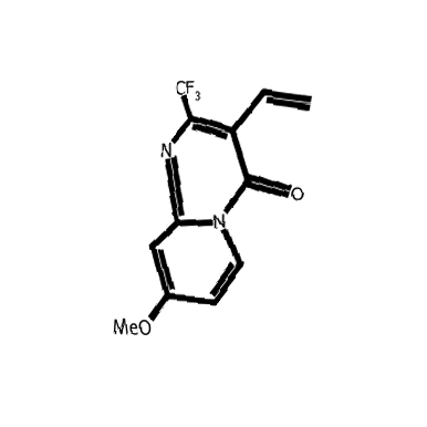 C=Cc1c(C(F)(F)F)nc2cc(OC)ccn2c1=O